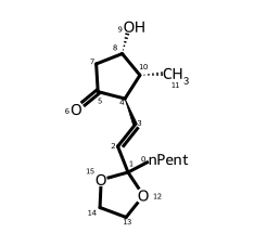 CCCCCC1(/C=C/[C@H]2C(=O)C[C@H](O)[C@@H]2C)OCCO1